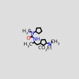 CCOC(=O)N(C)C1CCC(CC(C)NC(=O)N(C)C2CCCC2)C1